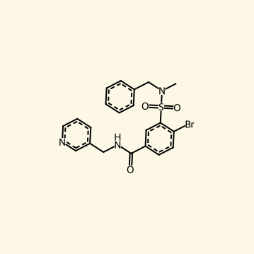 CN(Cc1ccccc1)S(=O)(=O)c1cc(C(=O)NCc2cccnc2)ccc1Br